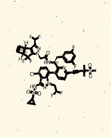 CC(C)(C#Cc1ccc(-c2ccc(Cl)c3c(NS(=O)(=O)C4CC4)nn(CC(F)F)c23)c([C@H](Cc2cc(F)cc(F)c2)NC(=O)Cn2nc(C(F)F)c3c2C(F)(F)[C@@H]2C#C[C@H]32)n1)S(C)(=O)=O